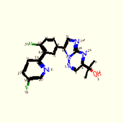 CC(C)(O)c1cnn2c(-c3ccc(F)c(-c4ccc(F)cn4)c3)cnc2n1